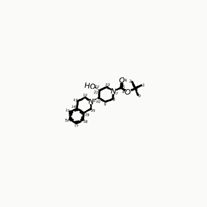 CC(C)(C)OC(=O)N1CC[C@H](N2CCc3ccccc3C2)[C@H](O)C1